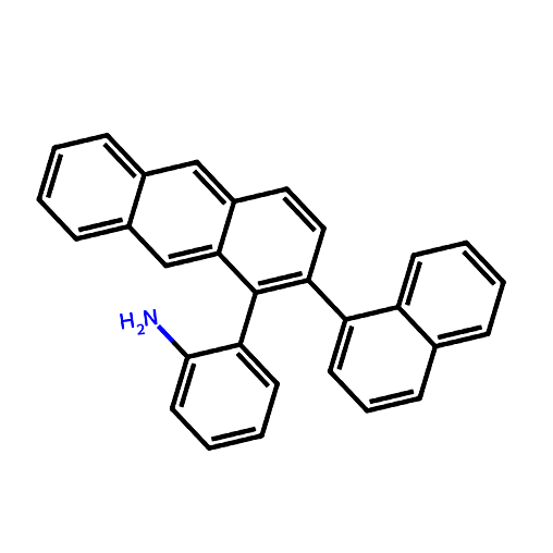 Nc1ccccc1-c1c(-c2cccc3ccccc23)ccc2cc3ccccc3cc12